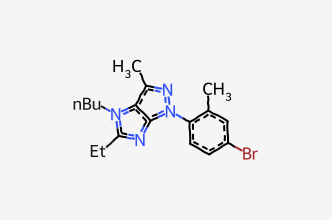 CCCCn1c(CC)nc2c1c(C)nn2-c1ccc(Br)cc1C